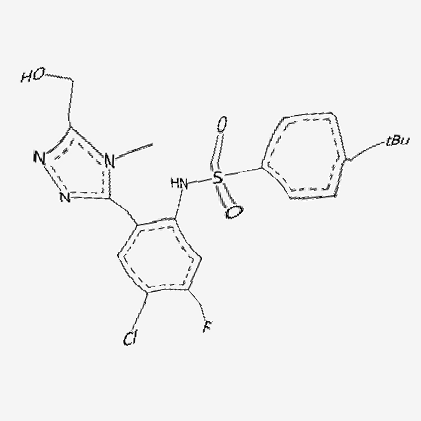 Cn1c(CO)nnc1-c1cc(Cl)c(F)cc1NS(=O)(=O)c1ccc(C(C)(C)C)cc1